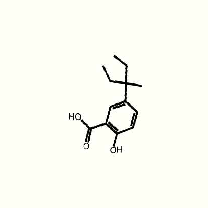 CCC(C)(CC)c1ccc(O)c(C(=O)O)c1